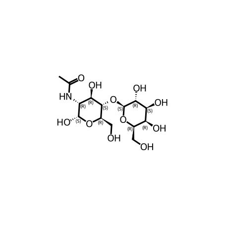 CC(=O)N[C@@H]1[C@@H](O)[C@H](O[C@@H]2O[C@H](CO)[C@H](O)[C@H](O)[C@H]2O)[C@@H](CO)O[C@@H]1O